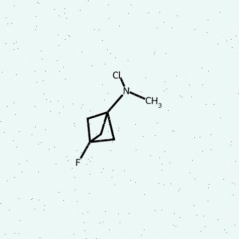 CN(Cl)C12CC(F)(C1)C2